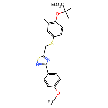 CCOC(=O)C(C)(C)Oc1ccc(SCc2nc(-c3ccc(OC(F)(F)F)cc3)ns2)cc1C